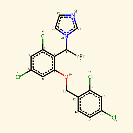 CCCC(c1c(Cl)cc(Cl)cc1OCc1ccc(Cl)cc1Cl)n1ccnc1